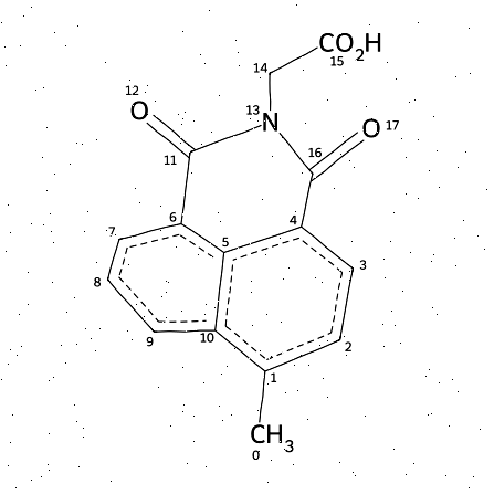 Cc1ccc2c3c(cccc13)C(=O)N(CC(=O)O)C2=O